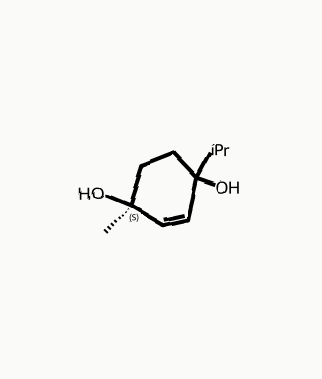 CC(C)C1(O)C=C[C@@](C)(O)CC1